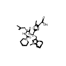 Cc1oc([C@@H](Cc2cn(C)c3ccccc23)NC(=O)[C@H](CC(C)C)NC(=O)N2CCCCC2)nc1C(=O)O